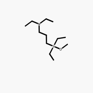 CCN(CC)CCC[Si](CC)(CC)OC